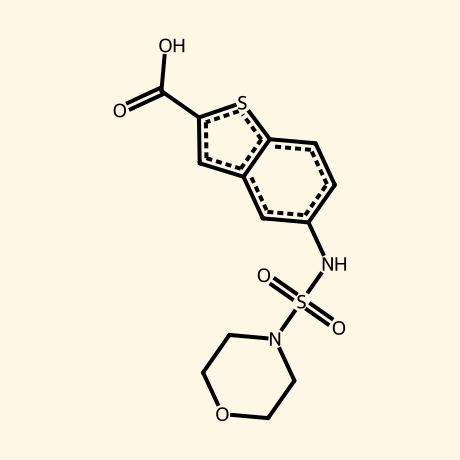 O=C(O)c1cc2cc(NS(=O)(=O)N3CCOCC3)ccc2s1